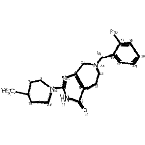 CC1CCN(c2nc3c(c(=O)[nH]2)CCN(Cc2ccccc2F)C3)CC1